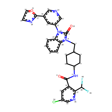 O=C(NC1CCC(Cn2c(=O)n(-c3cncc(-c4ncco4)c3)c3ccccc32)CC1)c1cc(Cl)cnc1C(F)F